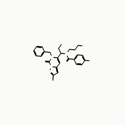 CCC(c1cc2cc(C)nn2c(=O)n1Cc1ccccc1)N(CCCN)C(=O)c1ccc(F)cc1